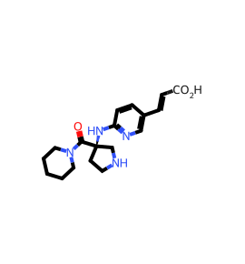 O=C(O)/C=C/c1ccc(N[C@]2(C(=O)N3CCCCC3)CCNC2)nc1